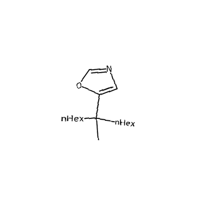 CCCCCCC(C)(CCCCCC)c1cnco1